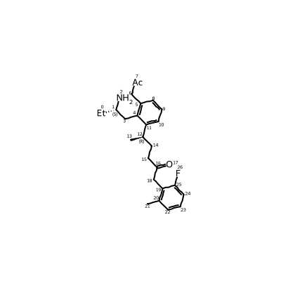 CC[C@H](N)Cc1c(CC(C)=O)cccc1[C@H](C)CCC(=O)Cc1c(C)cccc1F